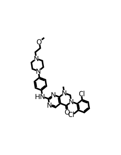 COCCN1CCN(c2ccc(Nc3ncc4c(n3)N(C)CN(c3c(Cl)cccc3Cl)C4=O)cc2)CC1